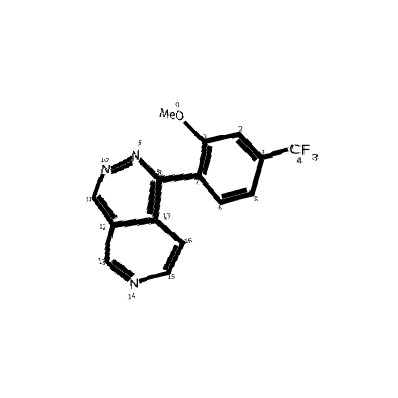 COc1cc(C(F)(F)F)ccc1-c1nncc2cnccc12